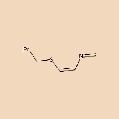 C=N/C=C\SCC(C)C